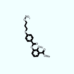 COC(=O)c1cccc(OC(=O)c2ccc(SCCCO[N+](=O)[O-])cc2)c1OC(C)=O